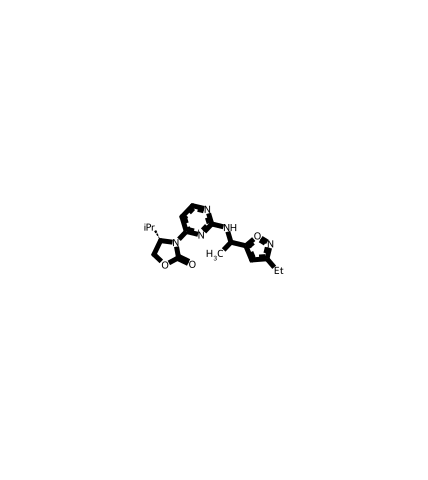 CCc1cc(C(C)Nc2nccc(N3C(=O)OC[C@@H]3C(C)C)n2)on1